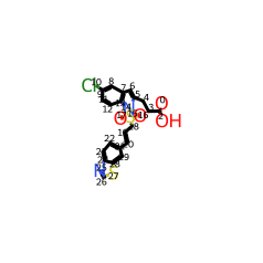 O=C(O)CCc1cc2cc(Cl)ccc2n1S(=O)(=O)CC=Cc1ccc2ncsc2c1